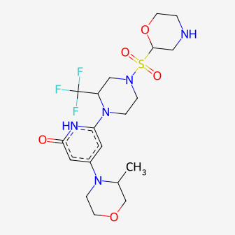 CC1COCCN1c1cc(N2CCN(S(=O)(=O)C3CNCCO3)CC2C(F)(F)F)[nH]c(=O)c1